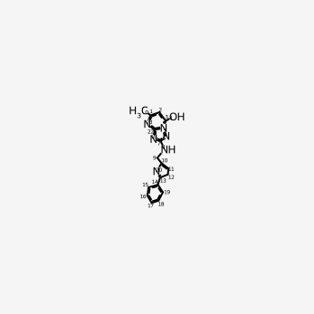 Cc1cc(O)n2nc(NCC3=CCC(c4ccccc4)=N3)nc2n1